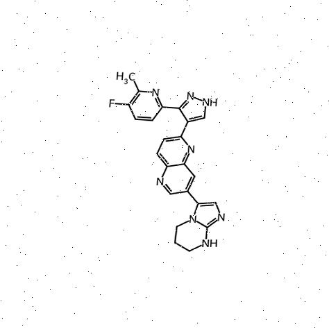 Cc1nc(-c2n[nH]cc2-c2ccc3ncc(-c4cnc5n4CCCN5)cc3n2)ccc1F